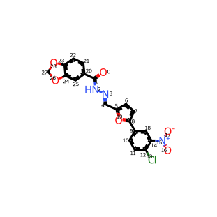 O=C(N/N=C/c1ccc(-c2ccc(Cl)c([N+](=O)[O-])c2)o1)c1ccc2c(c1)OCO2